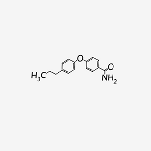 CCCc1ccc(Oc2ccc(C(N)=O)cc2)cc1